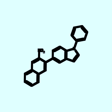 O=[N+]([O-])c1cc2ccccc2cc1-c1ccc2c(ccn2-c2ccccc2)c1